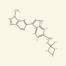 Cn1nnc2ccc(-c3c[nH]c4nc(NCC5(F)CCC5)ncc34)cc21